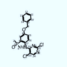 CP(C)(=O)c1cc(OCc2ccccc2)ccc1Nc1nc(Cl)ncc1Cl